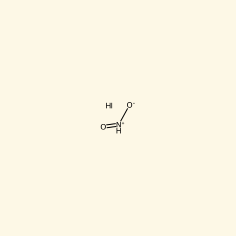 I.O=[NH+][O-]